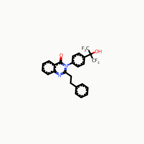 O=c1c2ccccc2nc(CCc2ccccc2)n1-c1ccc(C(O)(C(F)(F)F)C(F)(F)F)cc1